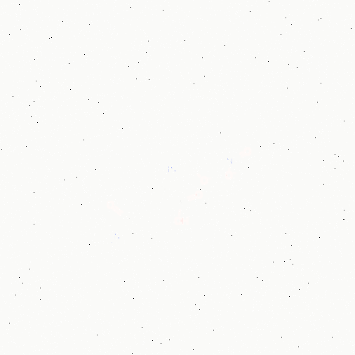 NC(=O)CC[C@H](N[S+]([O-])c1ccccc1[N+](=O)[O-])C(=O)O